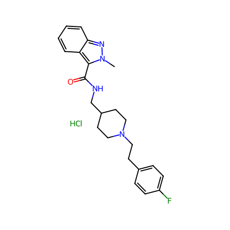 Cl.Cn1nc2ccccc2c1C(=O)NCC1CCN(CCc2ccc(F)cc2)CC1